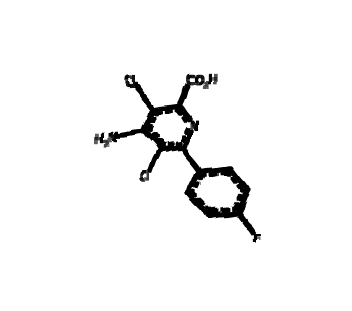 Nc1c(Cl)c(C(=O)O)nc(-c2ccc(F)cc2)c1Cl